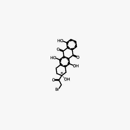 O=C1c2cccc(O)c2C(=O)c2c(O)c3c(c(O)c21)C[C@@](O)(C(=O)CBr)CC3